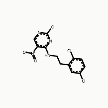 O=[N+]([O-])c1cnc(Cl)nc1NCCc1cc(Cl)ccc1Cl